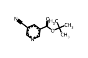 CC(C)(C)OC(=O)c1cncc(C#N)c1